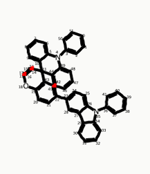 c1ccc(N2c3ccccc3C3(c4ccccc4Oc4ccc(-c5ccc6c(c5)c5ccccc5n6-c5ccccc5)cc43)c3ccccc32)cc1